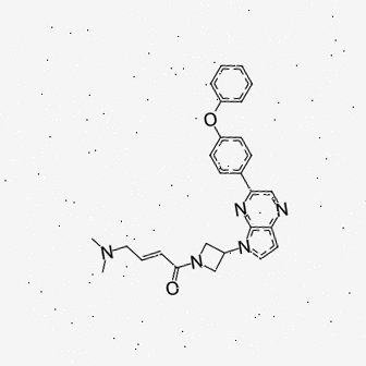 CN(C)CC=CC(=O)N1CC(n2ccc3ncc(-c4ccc(Oc5ccccc5)cc4)nc32)C1